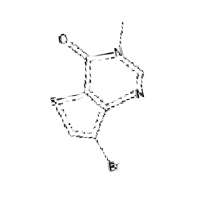 Cn1cnc2c(Br)csc2c1=O